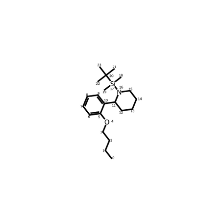 CCCCOc1ccccc1C1CCCCN1[Si](C)(C)C(C)(C)C